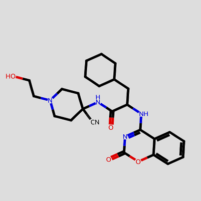 N#CC1(NC(=O)C(CC2CCCCC2)Nc2nc(=O)oc3ccccc23)CCN(CCO)CC1